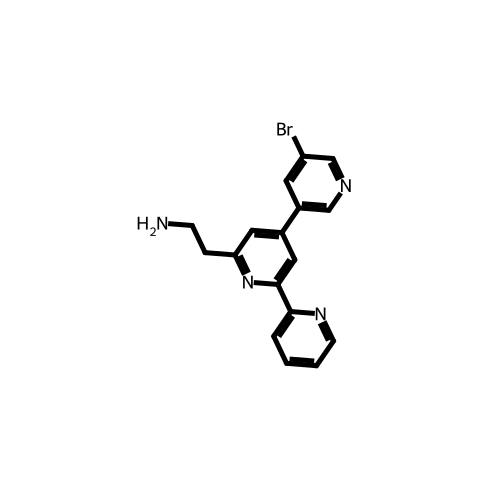 NCCc1cc(-c2cncc(Br)c2)cc(-c2ccccn2)n1